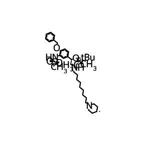 CC(C)(C)[Si](C)(C)O[C@@H](CNCCCCCCCCCN1CC[CH]CC1)c1ccc(OCc2ccccc2)c(NS(C)(=O)=O)c1